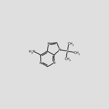 C[Si](C)(C)n1cnc2c(N)ncnc21